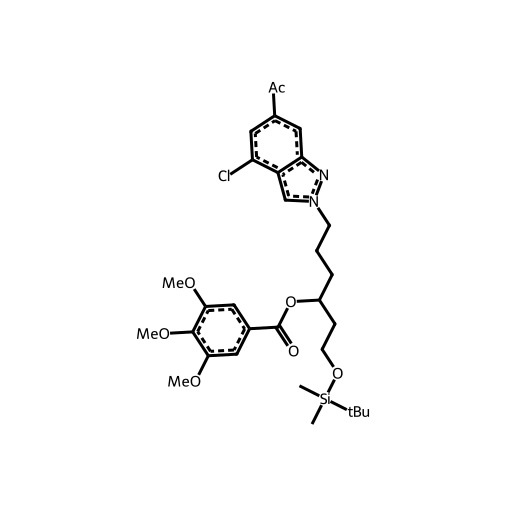 COc1cc(C(=O)OC(CCCn2cc3c(Cl)cc(C(C)=O)cc3n2)CCO[Si](C)(C)C(C)(C)C)cc(OC)c1OC